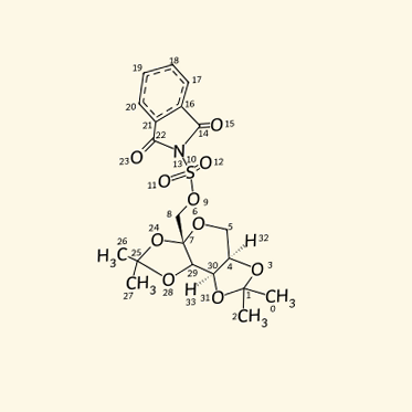 CC1(C)O[C@@H]2CO[C@@]3(COS(=O)(=O)N4C(=O)c5ccccc5C4=O)OC(C)(C)OC3[C@@H]2O1